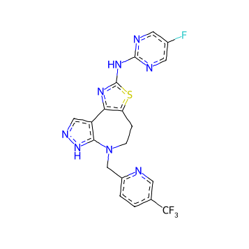 Fc1cnc(Nc2nc3c(s2)CCN(Cc2ccc(C(F)(F)F)cn2)c2[nH]ncc2-3)nc1